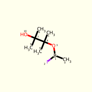 CB(I)OC(C)(C)C(C)(C)O